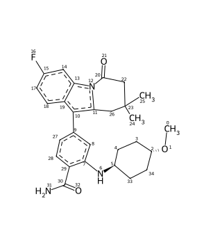 CO[C@H]1CC[C@H](Nc2cc(-c3c4n(c5cc(F)ccc35)C(=O)CC(C)(C)C4)ccc2C(N)=O)CC1